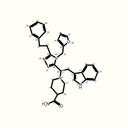 NC(=O)C1CCN([C@H](Cc2c[nH]c3ccccc23)c2nnc(CCc3ccccc3)n2Cc2ccco2)CC1